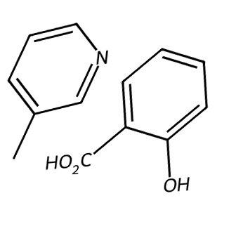 Cc1cccnc1.O=C(O)c1ccccc1O